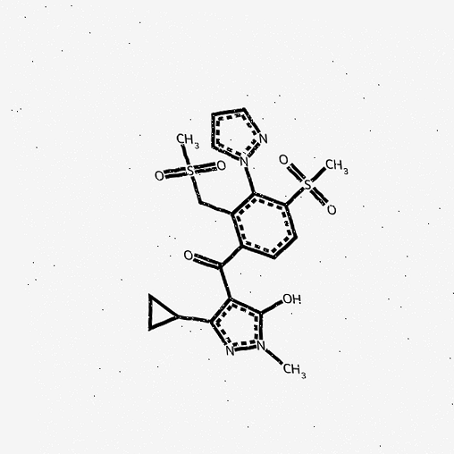 Cn1nc(C2CC2)c(C(=O)c2ccc(S(C)(=O)=O)c(-n3cccn3)c2CS(C)(=O)=O)c1O